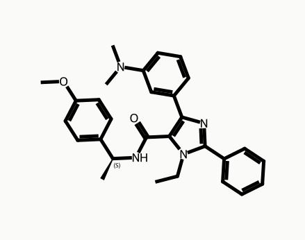 CCn1c(-c2ccccc2)nc(-c2cccc(N(C)C)c2)c1C(=O)N[C@@H](C)c1ccc(OC)cc1